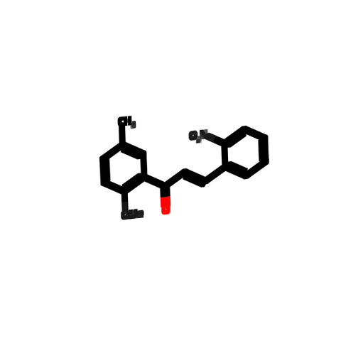 COc1ccc(C)cc1C(=O)/C=C/c1ccccc1[N+](=O)[O-]